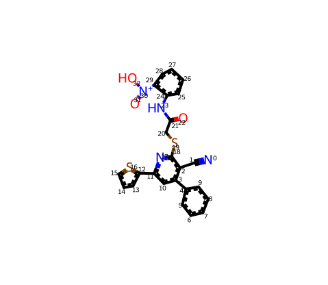 N#Cc1c(-c2ccccc2)cc(-c2cccs2)nc1SCC(=O)Nc1ccccc1[N+](=O)O